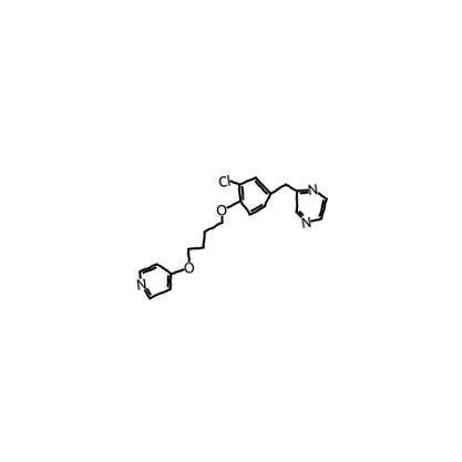 Clc1cc(Cc2cnccn2)ccc1OCCCCOc1ccncc1